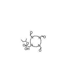 CCC(C)OP(=O)(O)CN1CCN(C=O)CCN(C=O)CCN(C=O)CC1